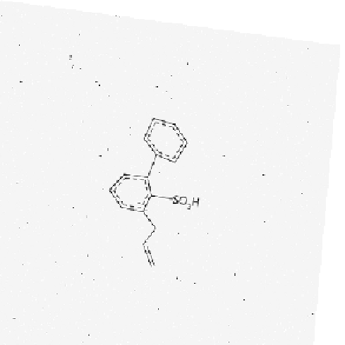 C=CCc1cccc(-c2ccccc2)c1S(=O)(=O)O